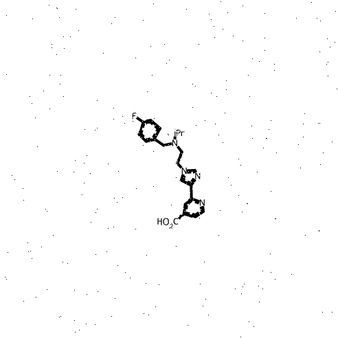 CC(C)N(CCn1cnc(-c2cc(C(=O)O)ccn2)c1)Cc1ccc(F)cc1